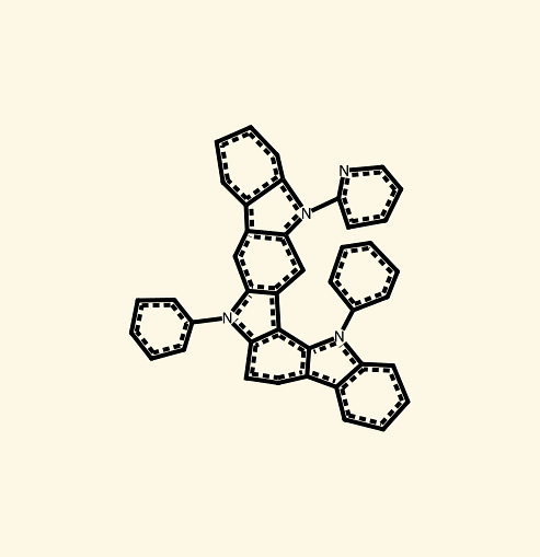 c1ccc(-n2c3cc4c5ccccc5n(-c5ccccn5)c4cc3c3c2ccc2c4ccccc4n(-c4ccccc4)c23)cc1